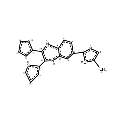 Cc1cnc(-c2ccc3nc(-c4cccs4)c(-c4cccs4)nc3c2)o1